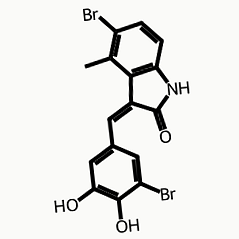 Cc1c(Br)ccc2c1C(=Cc1cc(O)c(O)c(Br)c1)C(=O)N2